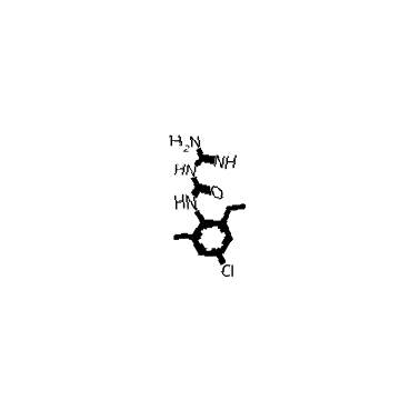 CCc1cc(Cl)cc(C)c1NC(=O)NC(=N)N